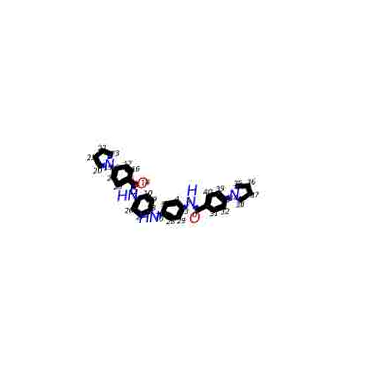 O=C(Nc1ccc(Nc2ccc(NC(=O)c3ccc(N4CCCC4)cc3)cc2)cc1)c1ccc(N2CCCC2)cc1